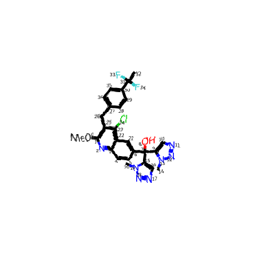 COc1nc2ccc(C(O)(c3cnnn3C)c3cnnn3C)cc2c(Cl)c1Cc1ccc(C(C)(F)F)cc1